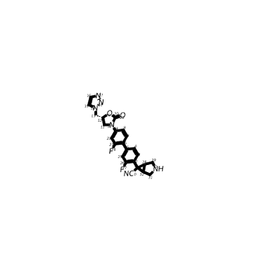 N#CC1(c2ccc(-c3ccc(N4C[C@H](Cn5ccnn5)OC4=O)cc3F)cc2F)C2CNCC21